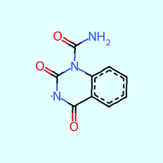 NC(=O)N1C(=O)[N]C(=O)c2ccccc21